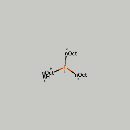 CCCCCCCCP(CCCCCCCC)CCCCCCCC.[KH]